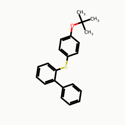 CC(C)(C)Oc1ccc(Sc2ccccc2-c2ccccc2)cc1